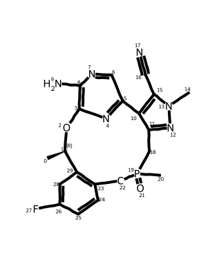 C[C@H]1Oc2nc(cnc2N)-c2c(nn(C)c2C#N)CP(C)(=O)Cc2ccc(F)cc21